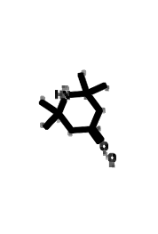 CC1(C)CC(=O)CC(C)(C)N1.[O]